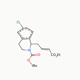 CCOC(=O)/C=C/CC1c2ccc(Cl)cc2CCN1C(=O)OC(C)(C)C